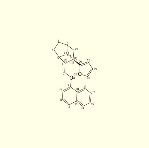 CN1C2CCC1[C@@H](COc1cccc3ccccc13)[C@H](c1ccco1)C2